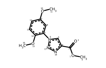 COC(=O)c1cn(-c2cc(OC)ccc2OC)nn1